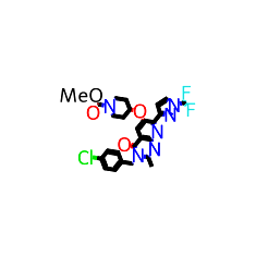 COC(=O)N1CCC(Oc2cc3c(=O)n(Cc4ccc(Cl)cc4)c(C)nc3nc2-c2ccn(C(F)F)n2)CC1